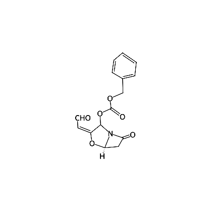 O=CC=C1O[C@@H]2CC(=O)N2C1OC(=O)OCc1ccccc1